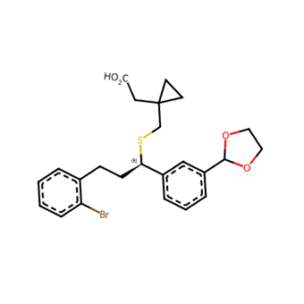 O=C(O)CC1(CS[C@H](CCc2ccccc2Br)c2cccc(C3OCCO3)c2)CC1